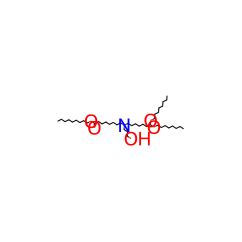 CCCCCCCCCOC(=O)CCCCCCCN(CCCO)CCCCCCC(OCCCCCCCC)OCCCCCCCC